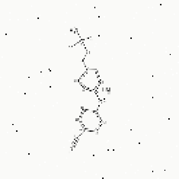 CC(C)(N)CCc1ccc(Oc2ccc(C#N)cc2)cc1.Cl